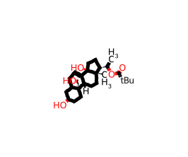 CC(OC(=O)C(C)(C)C)[C@H]1CC[C@@]2(O)C3=CCC4CC(O)CC[C@]4(CO)[C@H]3CC[C@]12C